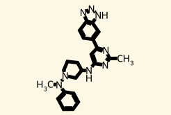 Cc1nc(NC2CCCN(N(C)c3ccccc3)C2)cc(-c2ccc3nn[nH]c3c2)n1